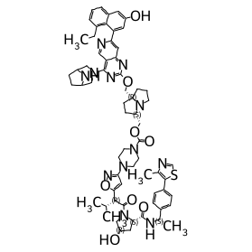 CCc1cccc2cc(O)cc(-c3cc4nc(OC[C@]56CCCN5[C@H](COC(=O)N5CCN(c7cc([C@H](C(=O)N8C[C@H](O)C[C@H]8C(=O)N[C@@H](C)c8ccc(-c9scnc9C)cc8)C(C)C)on7)CC5)CC6)nc(N5CC6CCC(C5)N6)c4cn3)c12